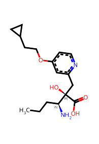 CCC[C@H](N)[C@](O)(Cc1cc(OCCC2CC2)ccn1)C(=O)O